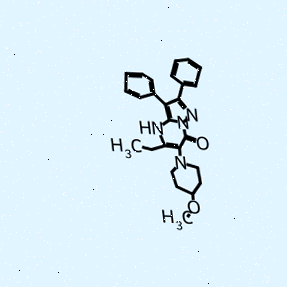 CCc1[nH]c2c(-c3ccccc3)c(-c3ccccc3)nn2c(=O)c1N1CCC(OC)CC1